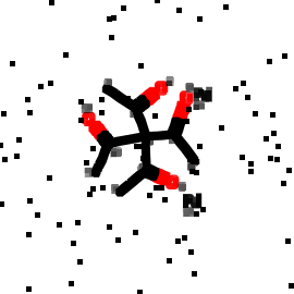 CC(=O)C(C(C)=O)(C(C)=O)C(C)=O.[Pd].[Pd]